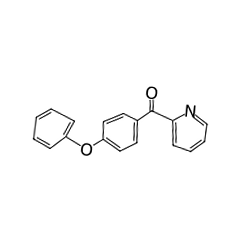 O=C(c1ccc(Oc2ccccc2)cc1)c1ccccn1